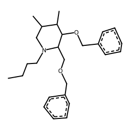 CCCCN1CC(C)C(C)C(OCc2ccccc2)C1COCc1ccccc1